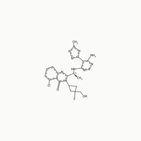 C[C@H](Nc1ncnc(N)c1-c1nnn(C)n1)c1nc2cccc(Cl)c2c(=O)n1C1CC(F)(CO)C1